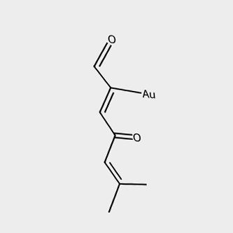 CC(C)=CC(=O)C=[C]([Au])C=O